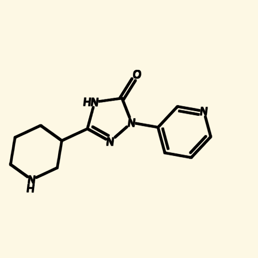 O=c1[nH]c(C2CCCNC2)nn1-c1cccnc1